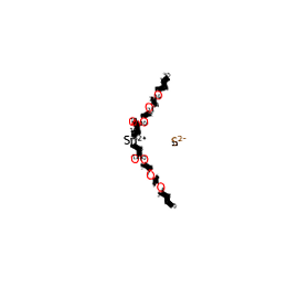 CCCCOCCOCCOC(=O)C[CH2][Sn+2][CH2]CC(=O)OCCOCCOCCCC.[S-2]